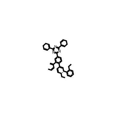 C=C(/C=C\C)c1cc(-c2nc(C3=CCCC=C3)nc(C3=CCCC=C3)n2)ccc1C(/C=C\[C@H](C)CC)=C/Cc1ccccc1CC